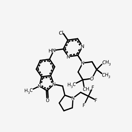 Cn1c(=O)n(CC2CCCN2CC(F)(F)F)c2cc(Nc3nc(N4CC(C)(C)OC(C)(C)C4)ncc3Cl)ccc21